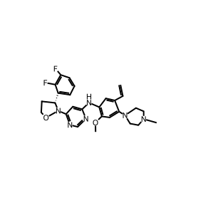 C=Cc1cc(Nc2cc(N3OCC[C@@H]3c3cccc(F)c3F)ncn2)c(OC)cc1N1CCN(C)CC1